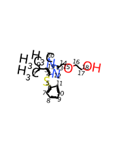 CC(C)c1c(Sc2ccccc2)nc(COCCO)n1C